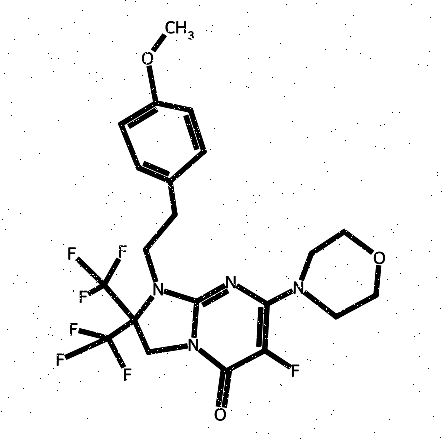 COc1ccc(CCN2c3nc(N4CCOCC4)c(F)c(=O)n3CC2(C(F)(F)F)C(F)(F)F)cc1